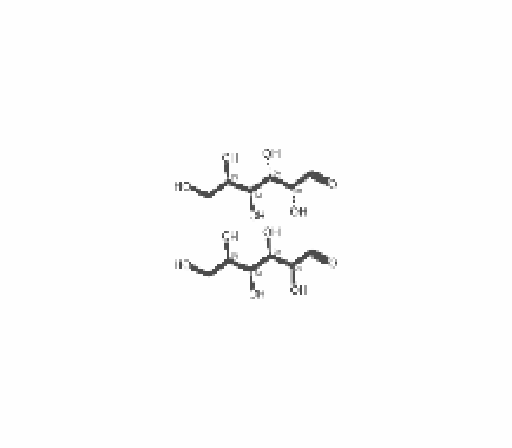 O=C[C@@H](O)[C@H](O)[C@@H](O)[C@H](O)CO.O=C[C@H](O)[C@@H](O)[C@@H](O)[C@H](O)CO